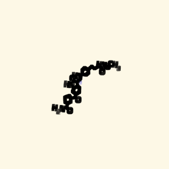 CONC(=O)CCCc1ccc(N/C=C2\C(=O)Nc3cc(C(=O)c4cccc(C(N)=O)c4)ccc32)cc1